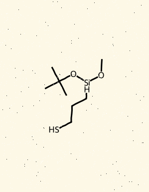 CO[SiH](CCCS)OC(C)(C)C